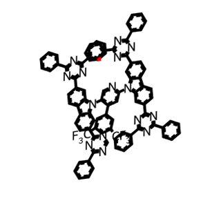 FC(F)(F)c1cc(-c2cc(-n3c4cc(-c5nc(-c6ccccc6)nc(-c6ccccc6)n5)ccc4c4ccc(-c5nc(-c6ccccc6)nc(-c6ccccc6)n5)cc43)ncc2-n2c3cc(-c4ncnc(-c5ccccc5)n4)ccc3c3ccc(-c4nc(-c5ccccc5)nc(-c5ccccc5)n4)cc32)cc(C(F)(F)F)c1